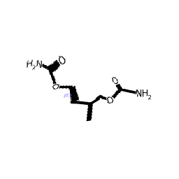 C=C(/C=C/OC(N)=O)COC(N)=O